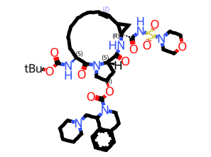 CC(C)(C)OC(=O)N[C@H]1CCCCC/C=C\C2C[C@@]2(C(=O)NS(=O)(=O)N2CCOCC2)NC(=O)[C@@H]2C[C@@H](OC(=O)N3CCc4ccccc4C3CN3CCCCC3)CN2C1=O